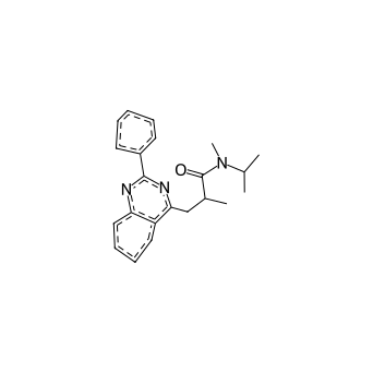 CC(Cc1nc(-c2ccccc2)nc2ccccc12)C(=O)N(C)C(C)C